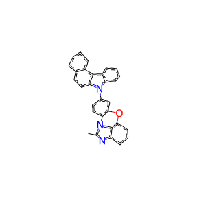 Cc1nc2cccc3c2n1-c1ccc(-n2c4ccccc4c4c5ccccc5ccc42)cc1O3